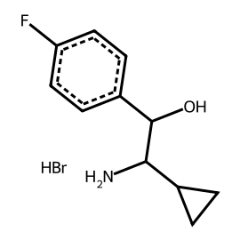 Br.NC(C1CC1)C(O)c1ccc(F)cc1